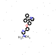 CN(C)c1ccnc(-c2cccc(Oc3cccc(C(C)(c4ccccn4)c4ccccc4-c4ccccc4)c3)c2)c1